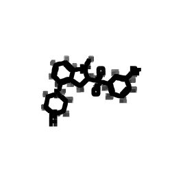 CN1c2cccc(N3CCNCC3)c2CC1S(=O)(=O)c1cccc(Br)c1